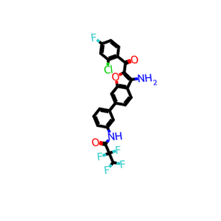 Nc1c(C(=O)c2ccc(F)cc2Cl)oc2cc(-c3cccc(NC(=O)C(F)(F)C(F)F)c3)ccc12